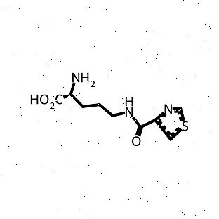 N[C@@H](CCCNC(=O)c1cscn1)C(=O)O